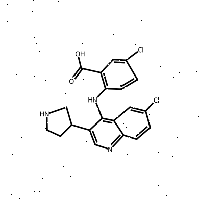 O=C(O)c1cc(Cl)ccc1Nc1c(C2CCNC2)cnc2ccc(Cl)cc12